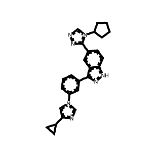 c1cc(-c2n[nH]c3ccc(-c4nncn4C4CCCC4)cc23)cc(-n2cnc(C3CC3)c2)c1